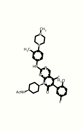 CC(=O)N[C@H]1CC[C@@H](n2c(=O)c(-c3cc(F)ccc3Cl)c(C)c3cnc(Nc4ccc(N5CCN(C)CC5)c(C)c4)nc32)CC1